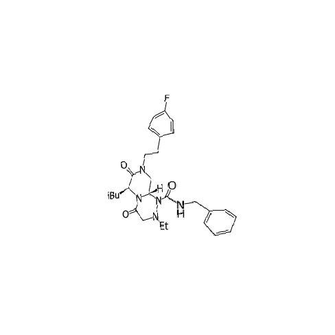 CCC(C)[C@H]1C(=O)N(CCc2ccc(F)cc2)C[C@H]2N1C(=O)CN(CC)N2C(=O)NCc1ccccc1